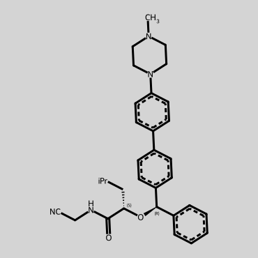 CC(C)C[C@H](O[C@H](c1ccccc1)c1ccc(-c2ccc(N3CCN(C)CC3)cc2)cc1)C(=O)NCC#N